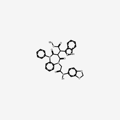 CC(C)N(C(=O)CN1C(=O)C(C(C(=O)OC(C)(C)C)c2n[nH]c3ccccc23)C(=O)N(c2ccccc2)c2ccccc21)c1ccc2c(c1)OCO2